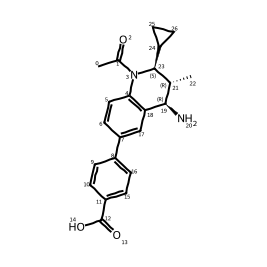 CC(=O)N1c2ccc(-c3ccc(C(=O)O)cc3)cc2[C@H](N)[C@@H](C)[C@@H]1C1CC1